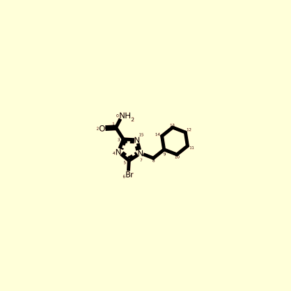 NC(=O)c1nc(Br)n(CC2CCCCC2)n1